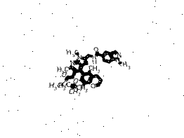 COC(=O)[C@@H](OC(C)(C)C)c1c(C)nc2c(cc(CNC(=O)c3ccc4c(cnn4C)c3)n2C)c1-c1cc(F)c2c(c1C)CCCO2